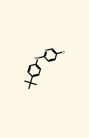 CC(C)(C)c1ccc(Nc2ccc(Cl)cn2)cc1